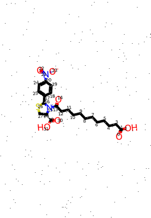 O=C(O)CCCCCCCCCCC(=O)N1C(c2ccc([N+](=O)[O-])cc2)SC[C@H]1C(=O)O